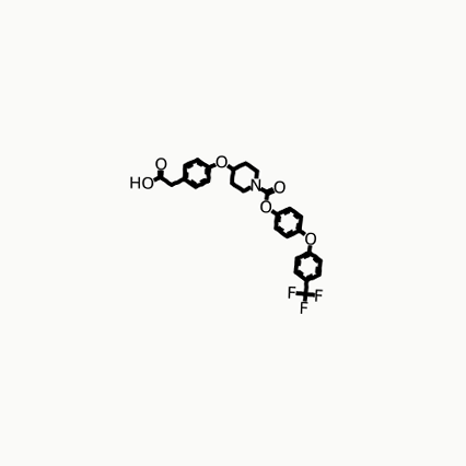 O=C(O)Cc1ccc(OC2CCN(C(=O)Oc3ccc(Oc4ccc(C(F)(F)F)cc4)cc3)CC2)cc1